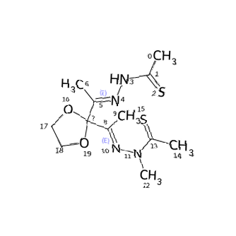 CC(=S)N/N=C(\C)C1(/C(C)=N/N(C)C(C)=S)OCCO1